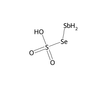 O=S(=O)(O)[Se][SbH2]